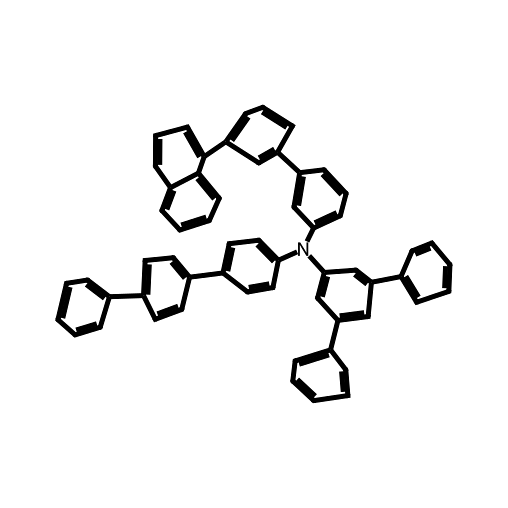 c1ccc(-c2ccc(-c3ccc(N(c4cccc(-c5cccc(-c6cccc7ccccc67)c5)c4)c4cc(-c5ccccc5)cc(-c5ccccc5)c4)cc3)cc2)cc1